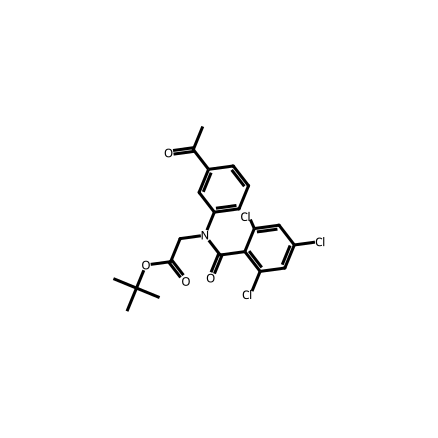 CC(=O)c1cccc(N(CC(=O)OC(C)(C)C)C(=O)c2c(Cl)cc(Cl)cc2Cl)c1